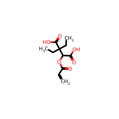 C=CC(=O)OC(C(=O)O)C(CC)(CC)C(=O)O